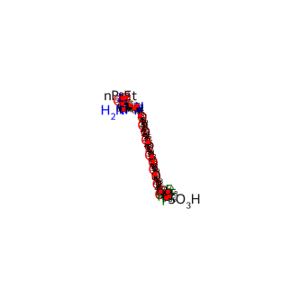 CCCN(OCC)C(=O)C1=Cc2sc(-c3cnn(CCOCCOCCOCCOCCOCCOCCOCCOCCOCCOCCC(=O)Oc4c(F)c(F)c(S(=O)(=O)O)c(F)c4F)c3)cc2N=C(N)C1